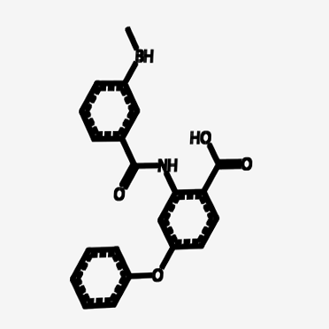 CBc1cccc(C(=O)Nc2cc(Oc3ccccc3)ccc2C(=O)O)c1